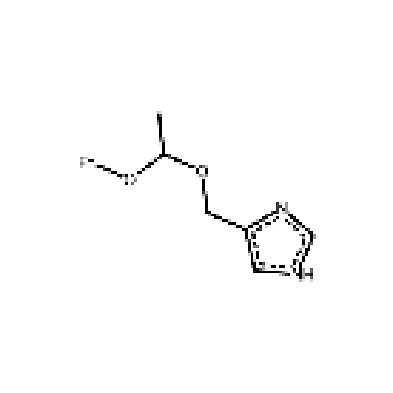 CCOC(C)OCc1c[nH]cn1